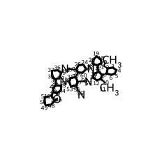 CCc1ccccc1-c1c(CC)ccc2c1c1ccccc1n2-c1ccc(C#N)c(-c2cc(-n3c4ccccc4c4cc5c(cc43)oc3ccccc35)cc(C#N)c2C#N)c1